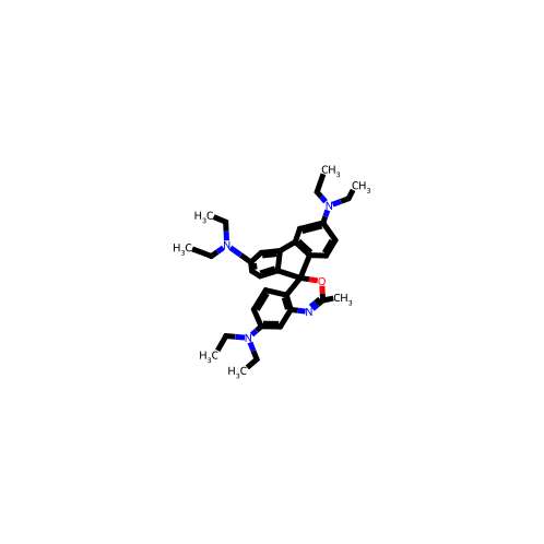 CCN(CC)c1ccc2c(c1)N=C(C)OC21c2ccc(N(CC)CC)cc2-c2cc(N(CC)CC)ccc21